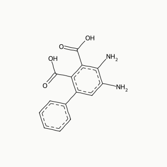 Nc1cc(-c2ccccc2)c(C(=O)O)c(C(=O)O)c1N